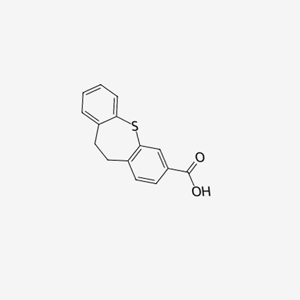 O=C(O)c1ccc2c(c1)Sc1ccccc1CC2